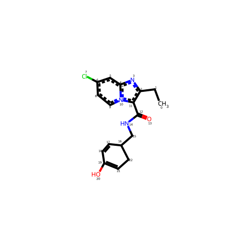 CCc1nc2cc(Cl)ccn2c1C(=O)NCC1C=CC(O)=CC1